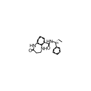 CC[C@@H](NC(=O)c1cccc2c1NCCC(=O)N2)c1ccccc1